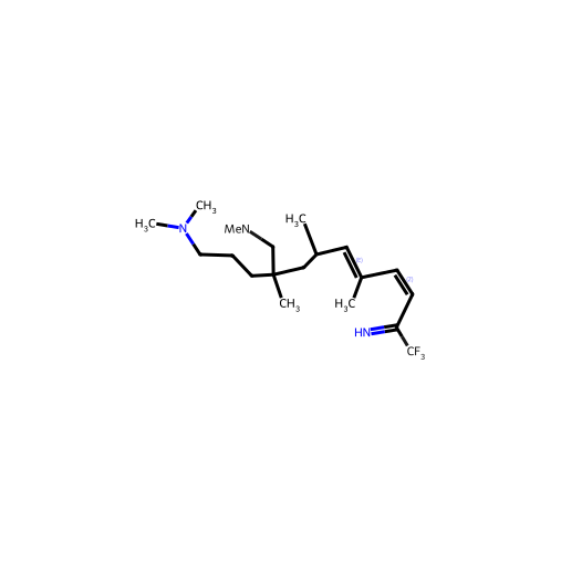 CNCC(C)(CCCN(C)C)CC(C)/C=C(C)/C=C\C(=N)C(F)(F)F